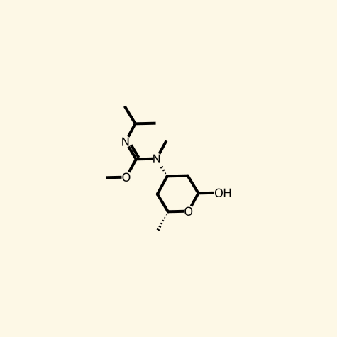 CO/C(=N/C(C)C)N(C)[C@@H]1CC(O)O[C@H](C)C1